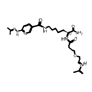 CC(C)=NNc1ccc(C(=O)NCCCCC[C@H](NC(=O)CCOCCNC(C)C)C(N)=O)cn1